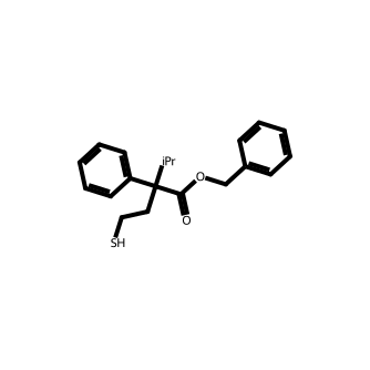 CC(C)C(CCS)(C(=O)OCc1ccccc1)c1ccccc1